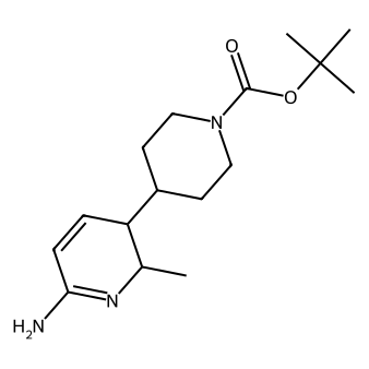 CC1N=C(N)C=CC1C1CCN(C(=O)OC(C)(C)C)CC1